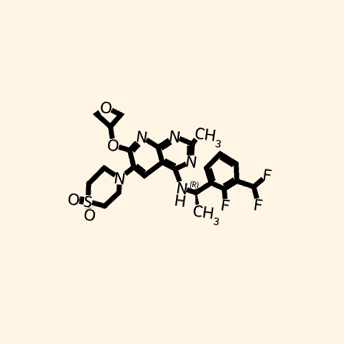 Cc1nc(N[C@H](C)c2cccc(C(F)F)c2F)c2cc(N3CCS(=O)(=O)CC3)c(OC3COC3)nc2n1